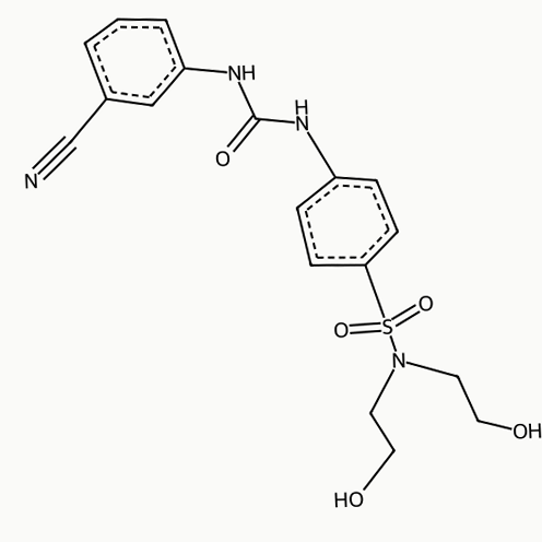 N#Cc1cccc(NC(=O)Nc2ccc(S(=O)(=O)N(CCO)CCO)cc2)c1